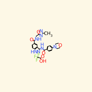 Cc1noc(CNC(=O)c2ccc3[nH]nc(NC(=O)c4ccc(N5CCOCC5)cc4)c3c2)n1.O=C(O)C(F)(F)F